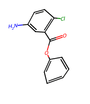 Nc1ccc(Cl)c(C(=O)Oc2ccccc2)c1